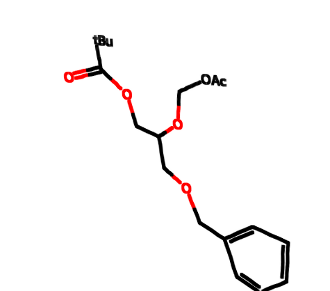 CC(=O)OCOC(COCc1ccccc1)COC(=O)C(C)(C)C